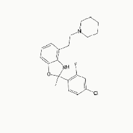 CC1(c2ccc(Cl)cc2F)Nc2c(CCN3CCCCC3)cccc2O1